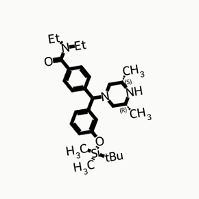 CCN(CC)C(=O)c1ccc(C(c2cccc(O[Si](C)(C)C(C)(C)C)c2)N2C[C@@H](C)N[C@@H](C)C2)cc1